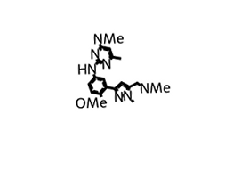 CNCc1cc(-c2cc(Nc3nc(C)cc(NC)n3)ccc2OC)nn1C